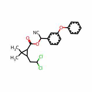 CC1(C)C(CC(Cl)Cl)C1C(=O)OC(C#N)c1cccc(Oc2ccccc2)c1